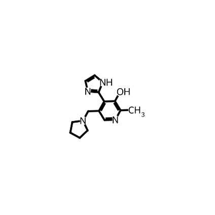 Cc1ncc(CN2CCCC2)c(-c2ncc[nH]2)c1O